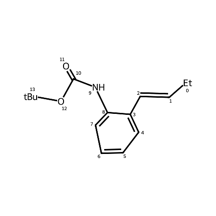 CCC=Cc1ccccc1NC(=O)OC(C)(C)C